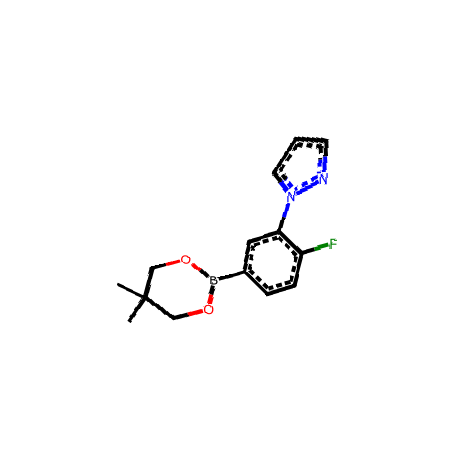 CC1(C)COB(c2ccc(F)c(-n3cccn3)c2)OC1